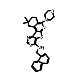 CC1(C)CCc2c(N3CCOCC3)nc3sc4c(NCc5cccc6ccccc56)ncnc4c3c2C1